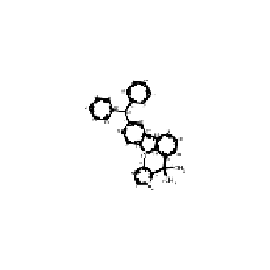 CC1(C)c2occc2-n2c3ccc(C(c4ccccc4)c4ccccc4)cc3c3cccc1c32